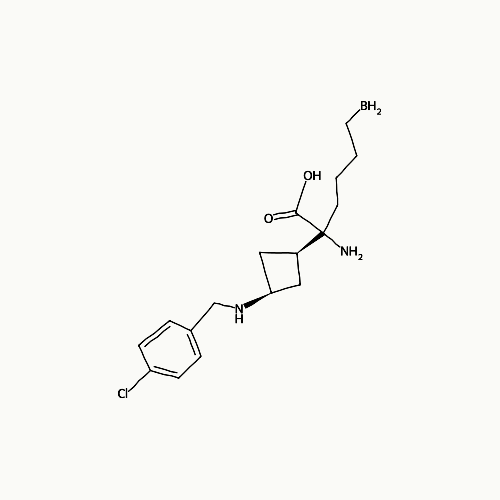 BCCCCC(N)(C(=O)O)[C@H]1C[C@@H](NCc2ccc(Cl)cc2)C1